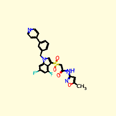 Cc1cc(NC(=O)CS(=O)(=O)c2cn(Cc3cccc(-c4ccncc4)c3)c3cc(F)cc(F)c23)no1